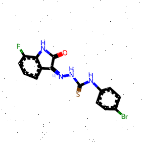 O=C1Nc2c(F)cccc2/C1=N/NC(=S)Nc1ccc(Br)cc1